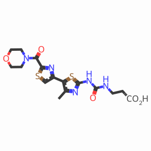 Cc1nc(NC(=O)NCCC(=O)O)sc1-c1csc(C(=O)N2CCOCC2)n1